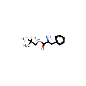 CC(C)(C)COC(=O)C(N)Cc1ccccc1